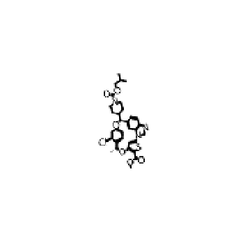 COC(=O)c1sc(-n2cnc3ccc(C(=O)C4CCN(C(=O)OCC(C)C)CC4)cc32)cc1O[C@H](C)c1ccccc1Cl